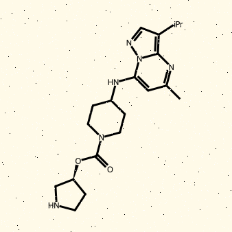 Cc1cc(NC2CCN(C(=O)O[C@H]3CCNC3)CC2)n2ncc(C(C)C)c2n1